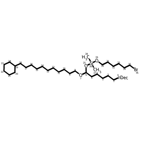 CCCCCCCCCCCCCCCC(OCCCCCCCCCCCC1CCCCC1)O[Si](C)(C)OCCCCCCBr